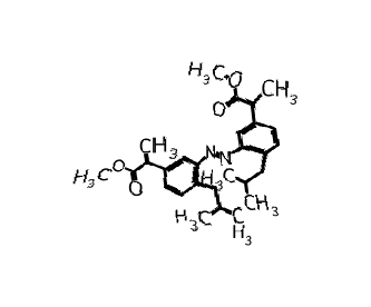 COC(=O)C(C)c1ccc(CC(C)C)c(/N=N/c2cc(C(C)C(=O)OC)ccc2CC(C)C)c1